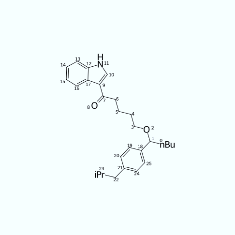 CCCCC(OCCCCC(=O)c1c[nH]c2ccccc12)c1ccc(CC(C)C)cc1